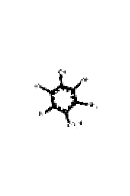 CCc1c(O)c(O)c(O)c(N)c1C(=O)O